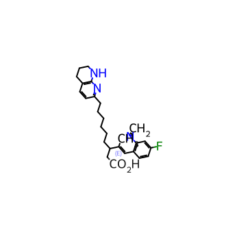 C=Nc1cc(F)ccc1/C=C(\C)C(CCCCCCc1ccc2c(n1)NCCC2)CC(=O)O